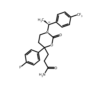 C[C@@H](c1ccc(C(F)(F)F)cc1)N1CCC(CCC(N)=O)(c2ccc(F)cc2)OC1=O